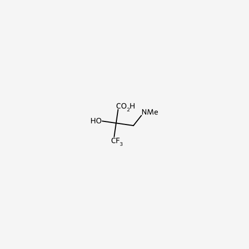 CNCC(O)(C(=O)O)C(F)(F)F